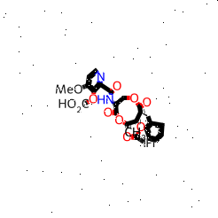 COc1ccnc(C(=O)N[C@H]2COC(=O)[C@H](Cc3ccccc3)[C@@H](OC(=O)C(C)C)[C@H](C)OC2=O)c1OC(=O)O